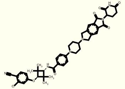 CC1(C)[C@H](NC(=O)c2ccc(N3CCC(N4Cc5cc6c(cc5C4)C(=O)N(C4CCC(=O)NC4=O)C6=O)CC3)cc2)C(C)(C)[C@H]1Oc1ccc(C#N)c(Cl)c1